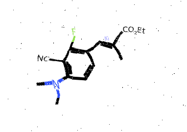 CCOC(=O)/C(C)=C/c1ccc(N(C)C)c(C#N)c1F